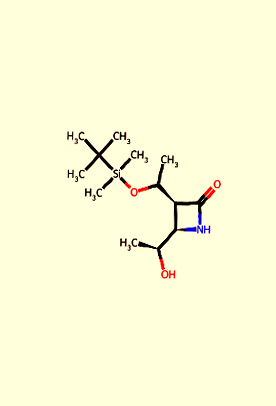 CC(O[Si](C)(C)C(C)(C)C)[C@H]1C(=O)N[C@H]1[C@H](C)O